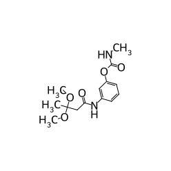 CNC(=O)Oc1cccc(NC(=O)CC(C)(OC)OC)c1